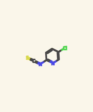 S=C=Nc1ccc(Cl)cn1